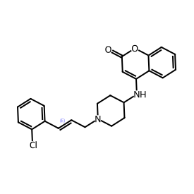 O=c1cc(NC2CCN(C/C=C/c3ccccc3Cl)CC2)c2ccccc2o1